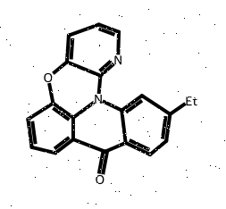 CCc1ccc2c(=O)c3cccc4c3n(c2c1)-c1ncccc1O4